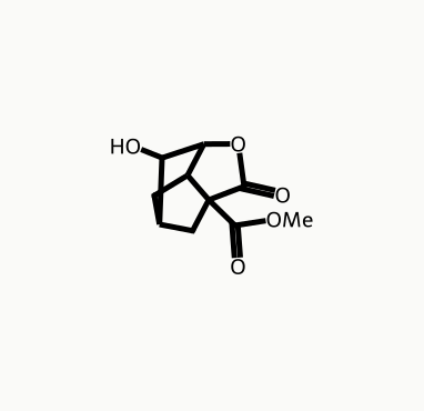 COC(=O)C12CC3CC1C(OC2=O)C3O